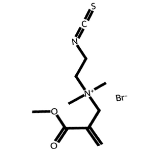 C=C(C[N+](C)(C)CCN=C=S)C(=O)OC.[Br-]